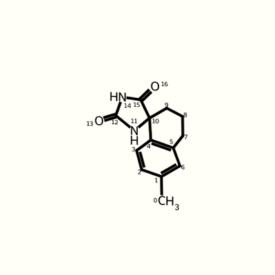 Cc1ccc2c(c1)CCCC21NC(=O)NC1=O